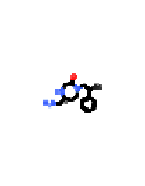 CCC(CN1CC[C@@H](CN)NCC1=O)c1ccccc1